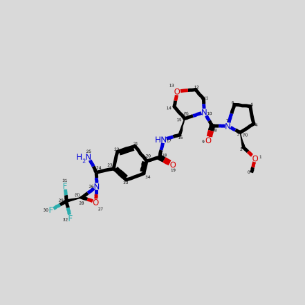 COC[C@@H]1CCCN1C(=O)N1CCOC[C@@H]1CNC(=O)c1ccc(C(N)N2O[C@H]2C(F)(F)F)cc1